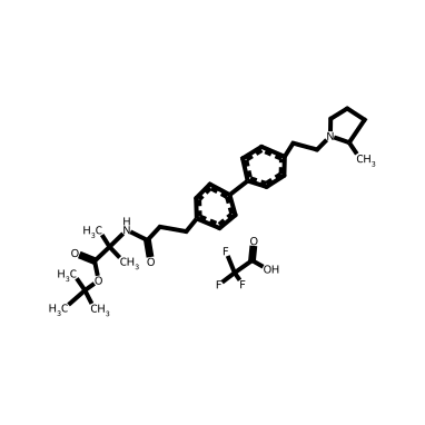 CC1CCCN1CCc1ccc(-c2ccc(CCC(=O)NC(C)(C)C(=O)OC(C)(C)C)cc2)cc1.O=C(O)C(F)(F)F